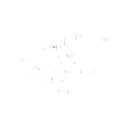 CC[C@H](C)[C@H](NC(=O)[C@@H](N)CCCCN)C(=O)N[C@@H](CCC(=O)O)C(=O)N[C@@H](CCC(=O)O)C(=O)N[C@@H](CC(C)C)C(=O)N[C@@H](CCC(=O)O)C(=O)O